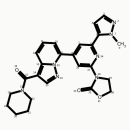 Cn1nccc1-c1cc(-c2cccc3c(C(=O)N4CCCCC4)cnn23)cc(N2CCOC2=O)n1